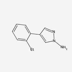 CCc1ccccc1-c1cnn(N)c1